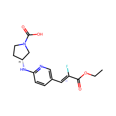 CCOC(=O)/C(F)=C/c1ccc(N[C@@H]2CCN(C(=O)O)C2)nc1